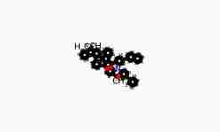 CC(C)c1ccccc1N(c1ccc(-c2ccccc2)cc1)c1cc(-c2ccc3ccccc3c2)ccc1-c1cccc2c1-c1ccccc1C2(c1ccccc1)c1ccc2c(c1)-c1ccccc1C2(C)C